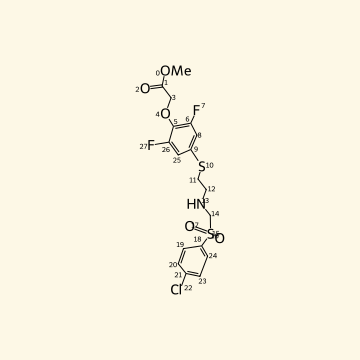 COC(=O)COc1c(F)cc(SCCNCS(=O)(=O)c2ccc(Cl)cc2)cc1F